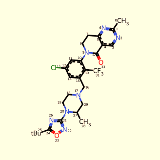 Cc1ncc2c(n1)CCN(c1cc(Cl)cc(CN3CCN(c4noc(C(C)(C)C)n4)C(C)C3)c1C(F)(F)F)C2=O